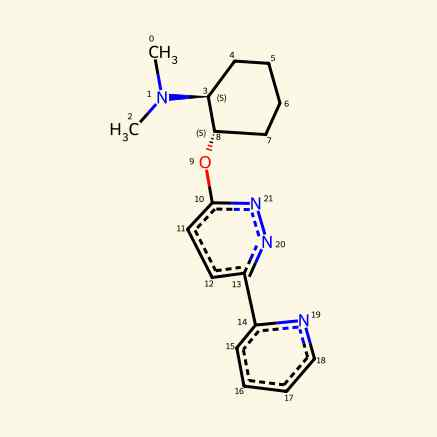 CN(C)[C@H]1CCCC[C@@H]1Oc1ccc(-c2ccccn2)nn1